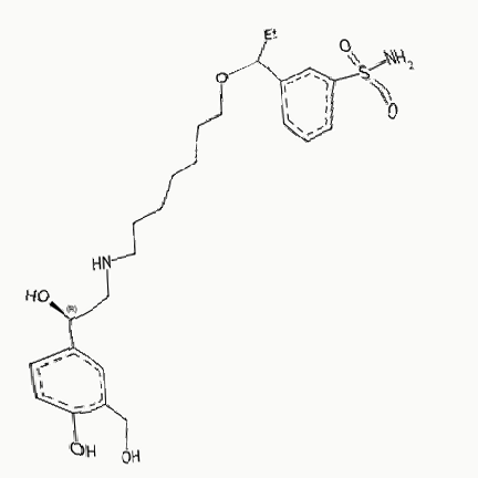 CCC(OCCCCCCCNC[C@H](O)c1ccc(O)c(CO)c1)c1cccc(S(N)(=O)=O)c1